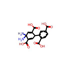 NC1(N)C=C(C(=O)O)C(c2cc(C(=O)O)ccc2C(=O)O)C=C1C(=O)O